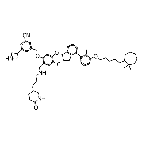 Cc1c(OCCCCCC2CCCCCC2(C)C)cccc1-c1cccc2c1CC[C@@H]2Oc1cc(OCc2cc(C#N)cc(C3CNC3)c2)c(CNCCC[C@H]2CCC(=O)NC2)cc1Cl